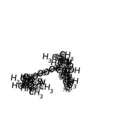 Cc1ncsc1-c1ccc([C@H](C)NC(=O)[C@@H]2C[C@@H](O)CN2C(=O)[C@@H](NC(=O)COCCOCCOCCOCCN(C)CCOC23CC4(C)CC(C)(CC(Cn5ncc(-c6ccc(N7CCCc8c7nnc(Nc7nc9ccccc9s7)c8C)nc6C(=O)O)c5C)(C4)C2)C3)C(C)(C)C)cc1